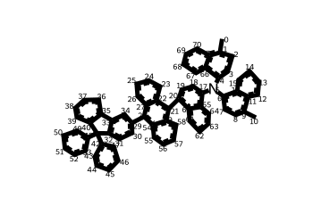 Cc1ccc(N(c2ccc(C)c3ccccc23)c2ccc(-c3c4ccccc4c(-c4ccc5c(c4)-c4ccccc4C5(c4ccccc4)c4ccccc4)c4ccccc34)c3ccccc23)c2ccccc12